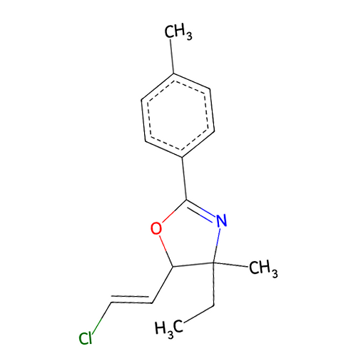 CCC1(C)N=C(c2ccc(C)cc2)OC1C=CCl